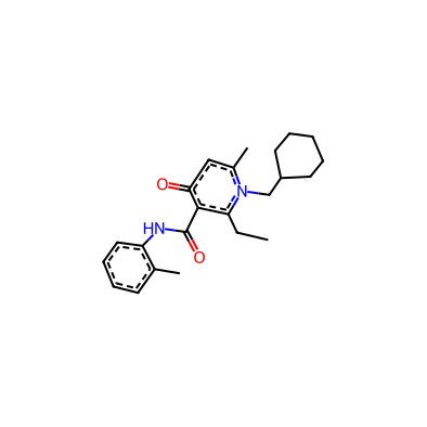 CCc1c(C(=O)Nc2ccccc2C)c(=O)cc(C)n1CC1CCCCC1